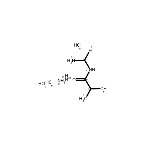 CCC(N)NC(=O)C(C)O.Cl.Cl.Cl.N.N